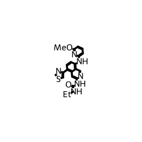 CCNC(=O)Nc1cc2c(-c3cscn3)ccc(Nc3cccc(OC)n3)c2cn1